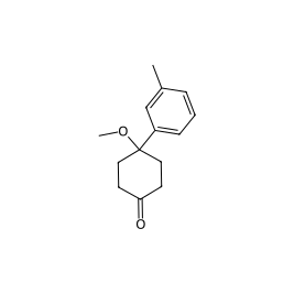 COC1(c2cccc(C)c2)CCC(=O)CC1